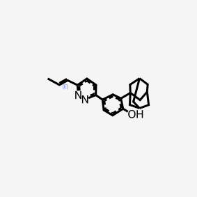 C/C=C/c1ccc(-c2ccc(O)c(C34CC5CC(CC(C5)C3)C4)c2)nn1